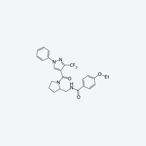 CCOc1ccc(C(=O)NCC2CCCN2C(=O)c2cn(-c3ccccc3)nc2C(F)(F)F)cc1